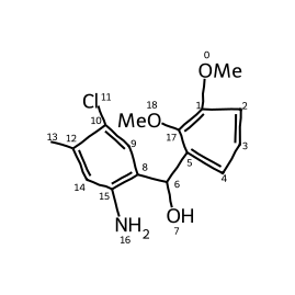 COc1cccc(C(O)c2cc(Cl)c(C)cc2N)c1OC